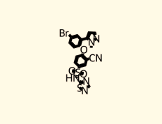 Cn1nccc1-c1cc(Br)ccc1Oc1ccc(S(=O)(=O)Nc2ncns2)cc1C#N